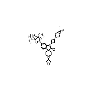 CC1(C)OB(c2ccc3c(c2)N(C2CC(N4CC5C(C4)C5(F)F)C2)C(=O)C32CCN(C3COC3)CC2)OC1(C)C